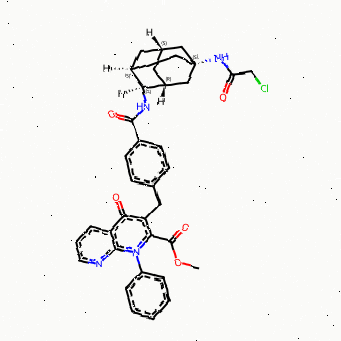 COC(=O)c1c(Cc2ccc(C(=O)N[C@@H]3[C@@H]4C[C@@H]5C[C@H]3C[C@@](NC(=O)CCl)(C5)C4)cc2)c(=O)c2cccnc2n1-c1ccccc1